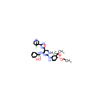 CCOB1OC(C)(C)c2cc(Nc3ncc(-c4nc(C5CN6CCC5(F)CC6)no4)c(N[C@H](CO)c4ccccc4)n3)ccc21